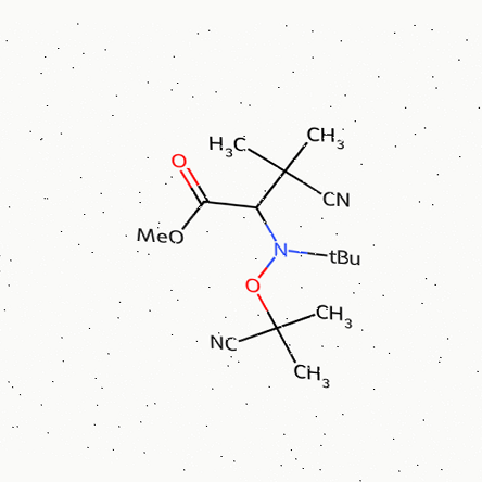 COC(=O)C(N(OC(C)(C)C#N)C(C)(C)C)C(C)(C)C#N